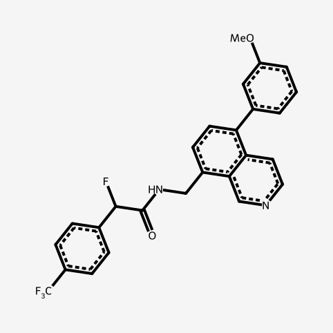 COc1cccc(-c2ccc(CNC(=O)C(F)c3ccc(C(F)(F)F)cc3)c3cnccc23)c1